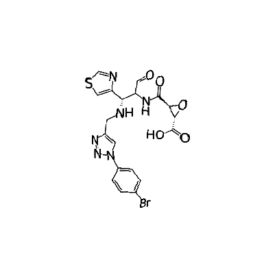 O=CC(NC(=O)[C@H]1O[C@@H]1C(=O)O)[C@H](NCc1cn(-c2ccc(Br)cc2)nn1)c1cscn1